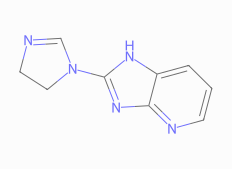 C1=NCCN1c1nc2ncccc2[nH]1